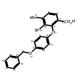 CC(C)(C)c1ccc(C(=O)O)c(Oc2ccc(OCc3ccccc3)cc2)c1Br